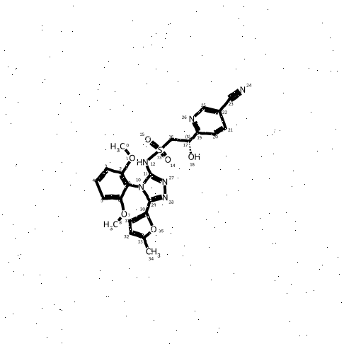 COc1cccc(OC)c1-n1c(NS(=O)(=O)C[C@@H](O)c2ccc(C#N)cn2)nnc1-c1ccc(C)o1